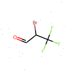 O=CC(Br)C(F)(F)F